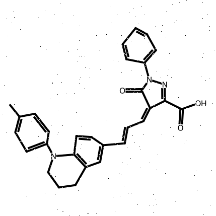 Cc1ccc(N2CCCc3cc(/C=C/C=C4\C(=O)N(c5ccccc5)N=C4C(=O)O)ccc32)cc1